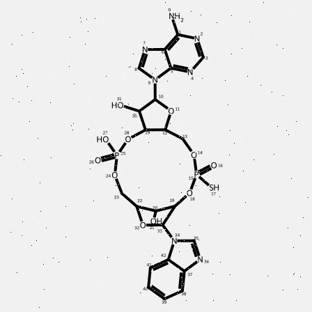 Nc1ncnc2c1ncn2C1OC2COP(=O)(S)OC3C(O)C(COP(=O)(O)OC2C1O)OC3n1cnc2ccccc21